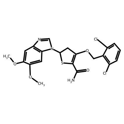 COc1cc2ncn(C3CC(OCc4c(Cl)cccc4Cl)=C(C(N)=O)S3)c2cc1OC